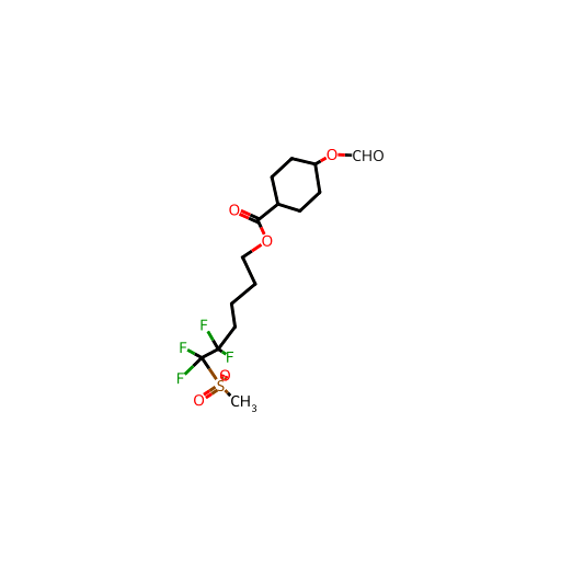 CS(=O)(=O)C(F)(F)C(F)(F)CCCCOC(=O)C1CCC(OC=O)CC1